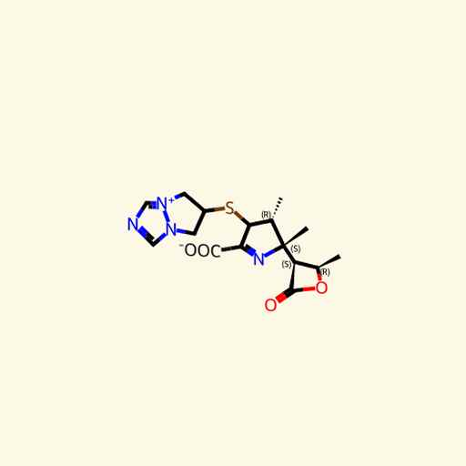 C[C@H]1OC(=O)[C@H]1[C@]1(C)N=C(C(=O)[O-])C(SC2Cn3cnc[n+]3C2)[C@@H]1C